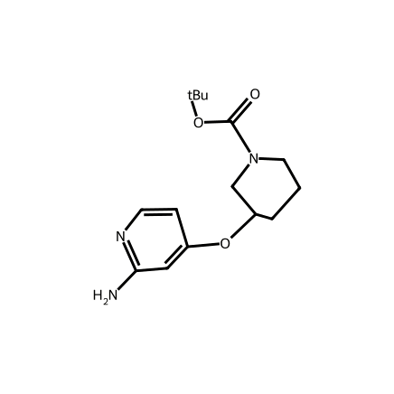 CC(C)(C)OC(=O)N1CCCC(Oc2ccnc(N)c2)C1